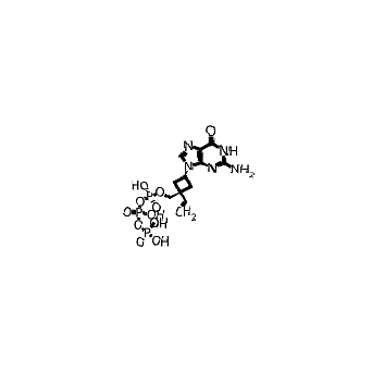 C=C[C@]1(COP(=O)(O)OP(=O)(O)OP(=O)(O)O)C[C@@H](n2cnc3c(=O)[nH]c(N)nc32)C1